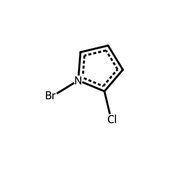 Clc1cccn1Br